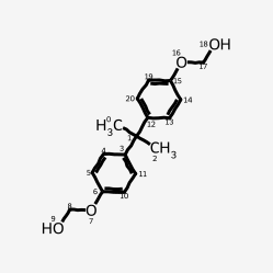 CC(C)(c1ccc(OCO)cc1)c1ccc(OCO)cc1